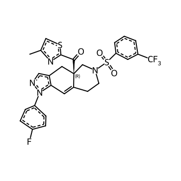 Cc1csc(C(=O)[C@]23Cc4cnn(-c5ccc(F)cc5)c4C=C2CCN(S(=O)(=O)c2cccc(C(F)(F)F)c2)C3)n1